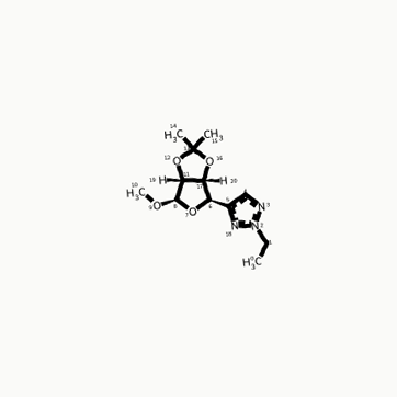 CCn1ncc([C@H]2O[C@@H](OC)[C@@H]3OC(C)(C)O[C@@H]32)n1